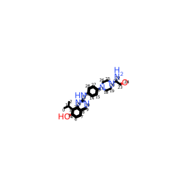 CC(C)c1c(O)ccc2cnc(Nc3ccc(N4CCN(C(N)C=O)CC4)cc3)nc12